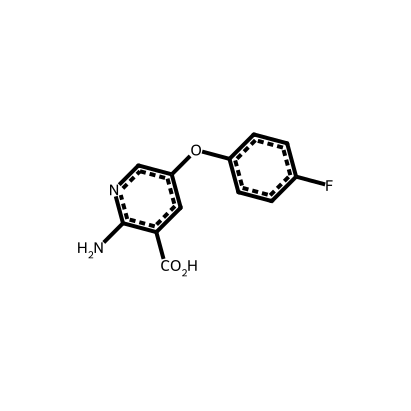 Nc1ncc(Oc2ccc(F)cc2)cc1C(=O)O